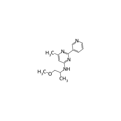 COCC(C)Nc1cc(C)nc(-c2cccnc2)n1